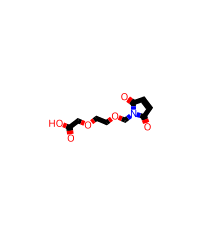 O=C(O)COCCOCN1C(=O)C=CC1=O